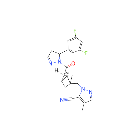 Cc1cnn(CC23CC(C2)[C@@H](C(=O)N2N=CCC2c2cc(F)cc(F)c2)C3)c1C#N